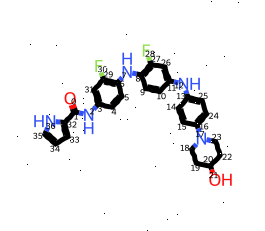 O=C(Nc1ccc(Nc2ccc(Nc3ccc(N4CCC(O)CC4)cc3)cc2F)c(F)c1)c1ccc[nH]1